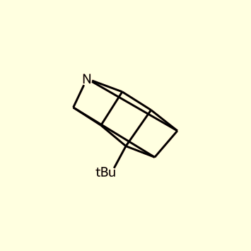 CC(C)(C)C12C3C4C1C1C2C3N41